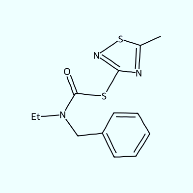 CCN(Cc1ccccc1)C(=O)Sc1nsc(C)n1